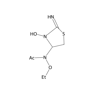 CCON(C(C)=O)C1CSC(=N)N1O